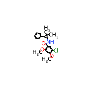 COc1cc(OC)c(C(=O)NC2C(c3ccccc3)C2(C)C)cc1Cl